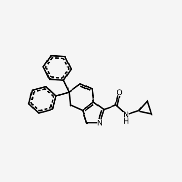 O=C(NC1CC1)C1=NCC2=C1C=CC(c1ccccc1)(c1ccccc1)C2